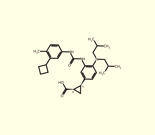 Cc1ccc(NC(=O)Nc2cc([C@H]3C[C@H]3C(=O)O)ccc2N(CC(C)C)CC(C)C)cc1C1CCC1